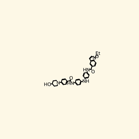 CCOn1ccc2cc(C(=O)Nc3ccc(Nc4ccc(NC(=O)c5ccc(N6CCC(O)CC6)cc5)cc4)cc3)ccc21